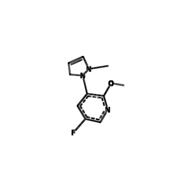 COc1ncc(F)cc1N1CC=CN1C